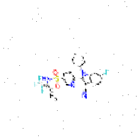 C[C@H](NS(=O)(=O)c1ccc(-c2c(C#N)c3ccc(F)cc3n2C2CCCCC2)nc1)C(F)(F)F